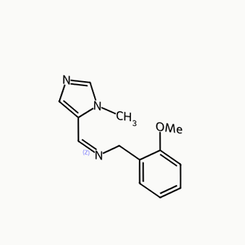 COc1ccccc1C/N=C\c1cncn1C